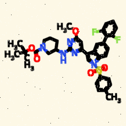 COc1cc(-c2cn(S(=O)(=O)c3ccc(C)cc3)c3ccc(-c4c(F)cccc4F)cc23)nc(NC2CCCN(C(=O)OC(C)(C)C)C2)n1